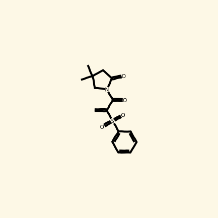 C=C(C(=O)N1CC(C)(C)CC1=O)S(=O)(=O)c1ccccc1